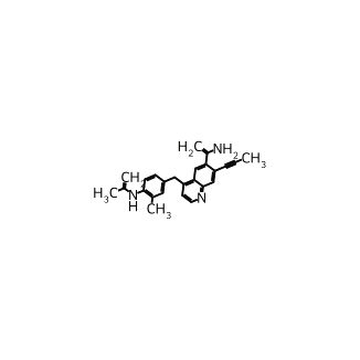 C=C(C)Nc1ccc(Cc2ccnc3cc(C#CC)c(C(=C)N)cc23)cc1C